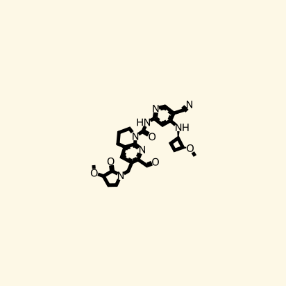 COC1CCN(Cc2cc3c(nc2C=O)N(C(=O)Nc2cc(N[C@@H]4CC[C@H]4OC)c(C#N)cn2)CCC3)C1=O